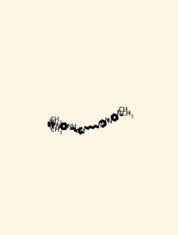 CCN(CC)c1ccc(/N=N/c2cc[n+](CCCCCC[n+]3ccn(CCCNc4ccc(/N=N/c5n(C)cc[n+]5C)cc4)c3)cc2)cc1